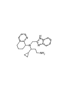 NCCC(C1CC1)N(Cc1nc2ccccc2[nH]1)C1CCCc2cccnc21